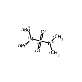 CCCCN(CCC)S(=O)(=O)N(C)C